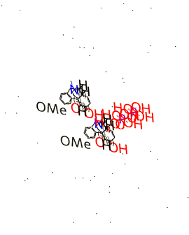 COc1ccc2c3c1O[C@H]1[C@@H](O)C=C[C@H]4[C@@H](C2)N(C)CC[C@@]341.COc1ccc2c3c1O[C@H]1[C@@H](O)C=C[C@H]4[C@@H](C2)N(C)CC[C@@]341.O.O=P(O)(O)O.O=P(O)(O)O